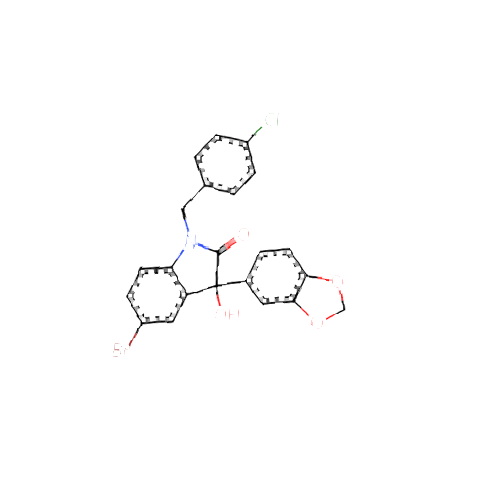 O=C1N(Cc2ccc(Cl)cc2)c2ccc(Br)cc2C1(O)c1ccc2c(c1)OCO2